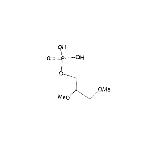 COCC(COP(=O)(O)O)OC